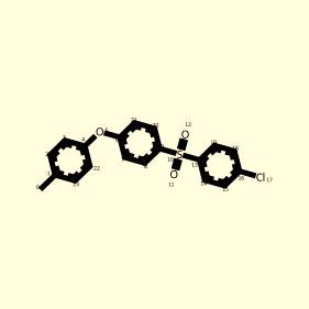 Cc1ccc(Oc2ccc(S(=O)(=O)c3ccc(Cl)cc3)cc2)cc1